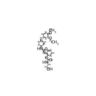 CCOc1cc(CN2CCC(Nc3nc4c(OC(=O)NCCO)cccc4o3)CC2)ccc1OC